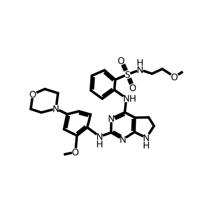 COCCNS(=O)(=O)c1ccccc1Nc1nc(Nc2ccc(N3CCOCC3)cc2OC)nc2c1CCN2